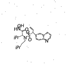 C=CC(c1ccc2ncccc2c1)S(=O)(=O)N(CCC(C)C)C(C(=O)NO)C(C)C